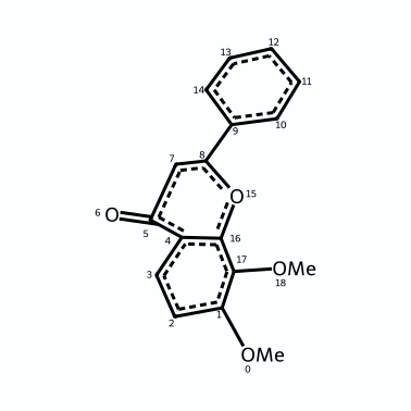 COc1ccc2c(=O)cc(-c3ccccc3)oc2c1OC